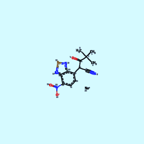 CC(C)(C)C(=O)C(C#N)c1ccc([N+](=O)[O-])c2nsnc12.[Na+]